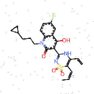 C=CC1=C(/C=C\C)S(=O)(=O)N=C(c2c(O)c3cc(F)ccc3n(CCCC3CC3)c2=O)N1